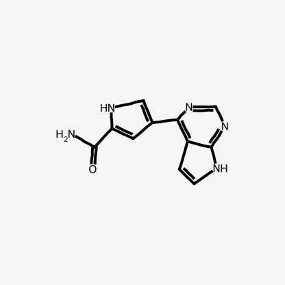 NC(=O)c1cc(-c2ncnc3[nH]ccc23)c[nH]1